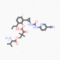 CCC(=O)c1ccc(F)c(C2CC2NC(=O)Nc2ccc(C#N)cn2)c1OC(O)C(=O)C(C)(C)COC(=O)[C@@H](N)C(C)C